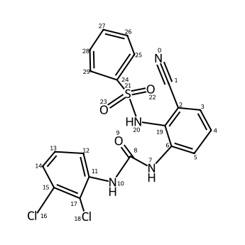 N#Cc1cccc(NC(=O)Nc2cccc(Cl)c2Cl)c1NS(=O)(=O)c1ccccc1